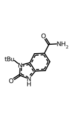 CC(C)(C)n1c(=O)[nH]c2ccc(C(N)=O)cc21